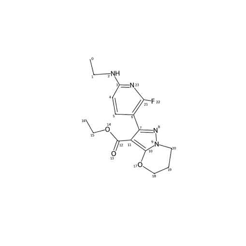 CCNc1ccc(-c2nn3c(c2C(=O)OCC)OCCC3)c(F)n1